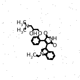 C=Cn1cc(C2=C(c3ccccc3OCC(O)CN(C)C)C(=O)NC2=O)c2ccccc21